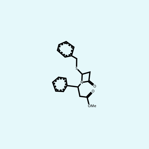 COC(=O)CC(c1ccccc1)N1C(=O)CC1SCc1ccccc1